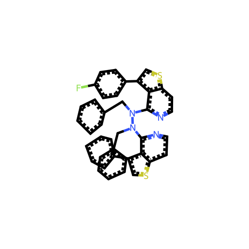 Fc1ccc(-c2csc3ccnc(N(Cc4ccccc4)N(Cc4ccccc4)c4nccc5scc(-c6ccccc6)c45)c23)cc1